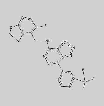 Fc1ccc2c(c1CNc1ncc(-c3ccnc(C(F)(F)F)c3)c3nncn13)CCO2